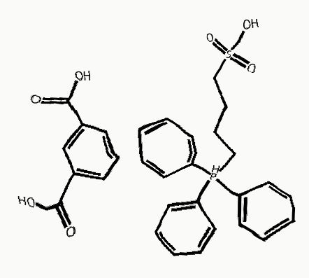 O=C(O)c1cccc(C(=O)O)c1.O=S(=O)(O)CCCC[PH](c1ccccc1)(c1ccccc1)c1ccccc1